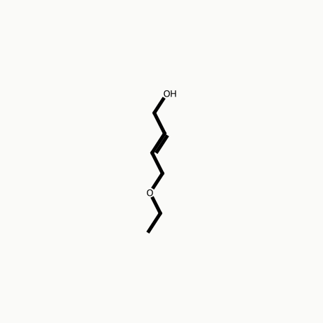 CCOC/C=C/CO